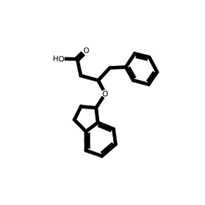 O=C(O)CC(Cc1ccccc1)OC1CCc2ccccc21